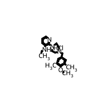 CCNc1cccnc1N1CCN(Cc2cc(C)c(OC)c(C)c2)CC1.Cl